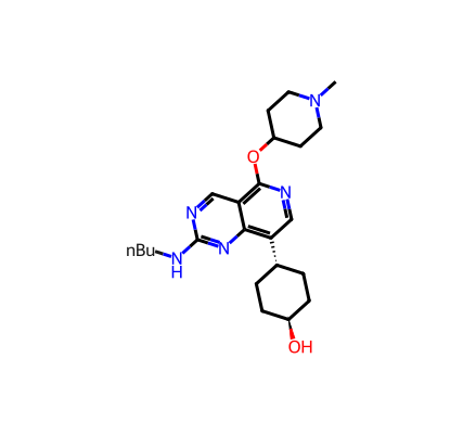 CCCCNc1ncc2c(OC3CCN(C)CC3)ncc([C@H]3CC[C@H](O)CC3)c2n1